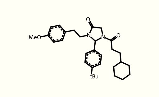 COc1ccc(CCN2C(=O)CN(C(=O)CCC3CCCCC3)C2c2ccc(C(C)(C)C)cc2)cc1